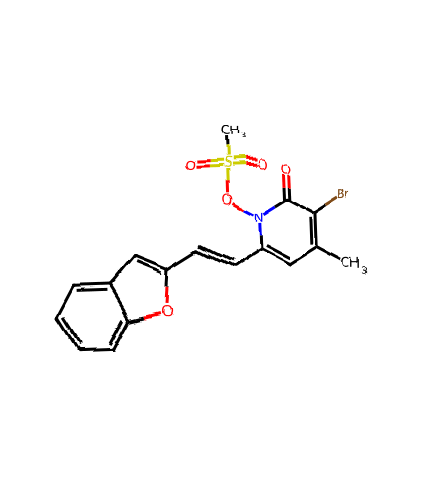 Cc1cc(C=Cc2cc3ccccc3o2)n(OS(C)(=O)=O)c(=O)c1Br